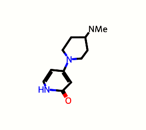 CNC1CCN(c2cc[nH]c(=O)c2)CC1